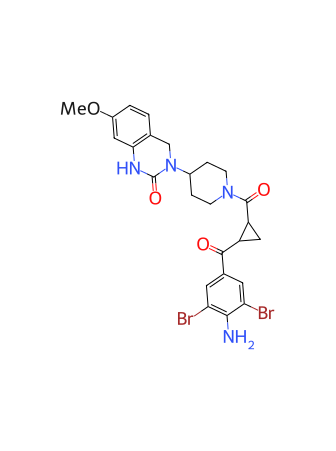 COc1ccc2c(c1)NC(=O)N(C1CCN(C(=O)C3CC3C(=O)c3cc(Br)c(N)c(Br)c3)CC1)C2